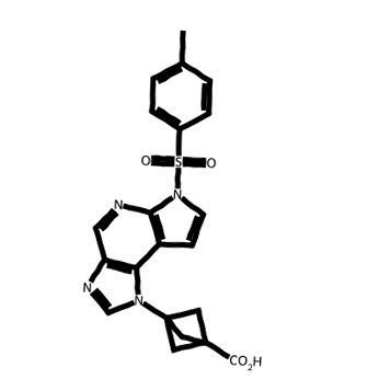 Cc1ccc(S(=O)(=O)n2ccc3c4c(cnc32)ncn4C23CC(C(=O)O)(C2)C3)cc1